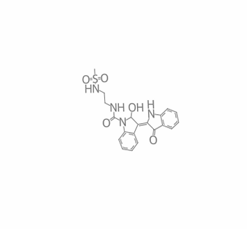 CS(=O)(=O)NCCNC(=O)N1c2ccccc2/C(=C2/Nc3ccccc3C2=O)C1O